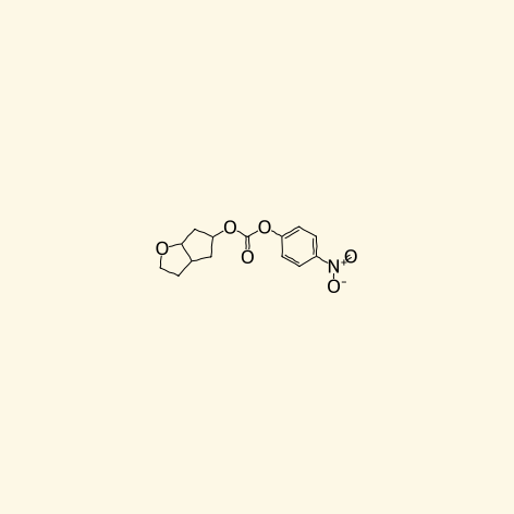 O=C(Oc1ccc([N+](=O)[O-])cc1)OC1CC2CCOC2C1